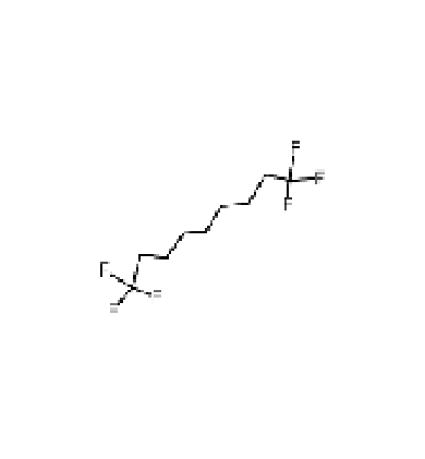 FC(F)(F)CCC[CH]CCCC(F)(F)F